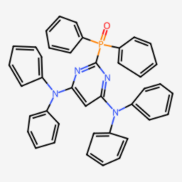 O=P(c1ccccc1)(c1ccccc1)c1nc(N(c2ccccc2)c2ccccc2)cc(N(c2ccccc2)c2ccccc2)n1